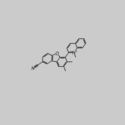 Cc1cc2c(oc3ccc(C#N)cc32)c(-c2ccc3ccccc3[n+]2C)c1C